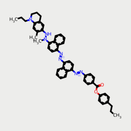 CCCc1ccc(OC(=O)c2ccc(/N=N/c3ccc(/N=N/c4ccc(N(C)Nc5cc6c(cc5C)N(CCC)CCC6)c5ccccc45)c4ccccc34)cc2)cc1